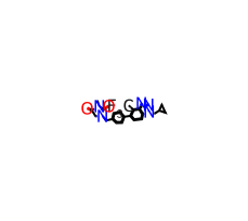 CN1C(=O)CN(Cc2ccc(-c3ccc4c(nnn4CC4CC4)c3C(F)(F)F)cc2)C1=O